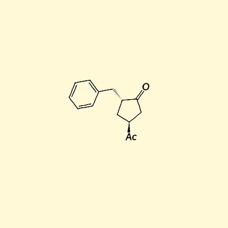 CC(=O)[C@@H]1CC(=O)[C@@H](Cc2ccccc2)C1